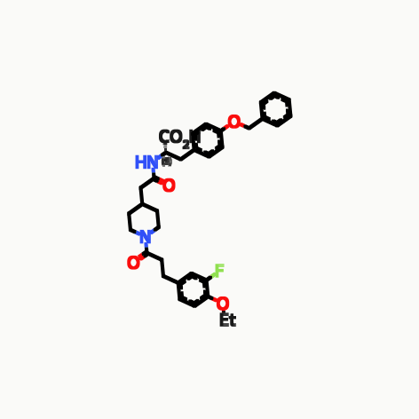 CCOc1ccc(CCC(=O)N2CCC(CC(=O)N[C@@H](Cc3ccc(OCc4ccccc4)cc3)C(=O)O)CC2)cc1F